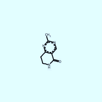 Cc1ncc2c(n1)CCNC2=O